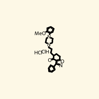 COc1ccccc1N1CCN(CCCC2CCc3onc(-c4ccccc4)c3C2=O)CC1.Cl.Cl